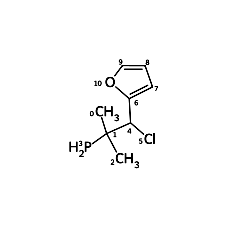 CC(C)(P)C(Cl)c1ccco1